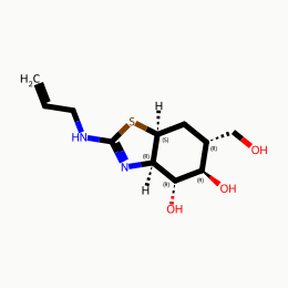 C=CCNC1=N[C@@H]2[C@@H](O)[C@H](O)[C@@H](CO)C[C@@H]2S1